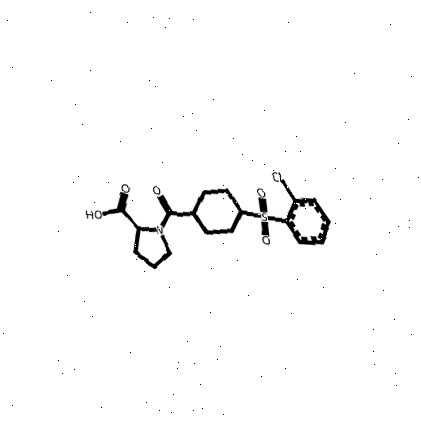 O=C(O)C1CCCN1C(=O)C1CCC(S(=O)(=O)c2ccccc2Cl)CC1